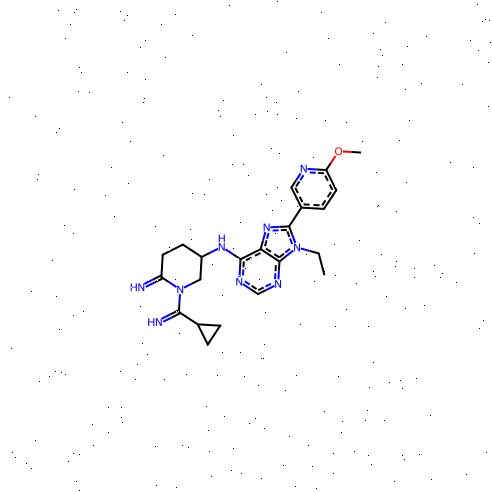 CCn1c(-c2ccc(OC)nc2)nc2c(NC3CCC(=N)N(C(=N)C4CC4)C3)ncnc21